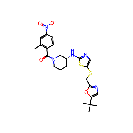 Cc1cc([N+](=O)[O-])ccc1C(=O)N1CCC[C@@H](Nc2ncc(SCc3ncc(C(C)(C)C)o3)s2)C1